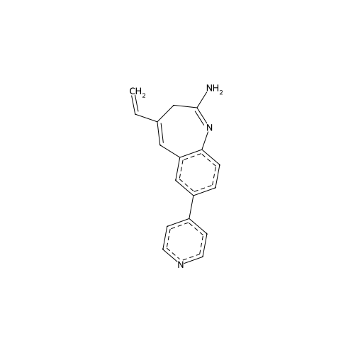 C=CC1=Cc2cc(-c3ccncc3)ccc2N=C(N)C1